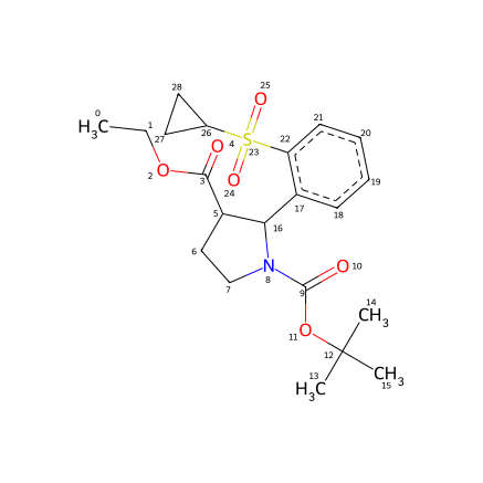 CCOC(=O)C1CCN(C(=O)OC(C)(C)C)C1c1ccccc1S(=O)(=O)C1CC1